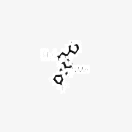 CNc1nn2c(-c3cccnc3)cc(C)nc2c1S(=O)(=O)c1cccc(F)c1